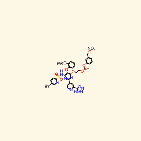 COc1ccccc1Oc1c(NS(=O)(=O)c2ccc(C(C)C)cn2)nc(-c2ccnc(-c3nnn[nH]3)c2)nc1OCCOC(=O)Oc1cccc(CO[N+](=O)[O-])c1